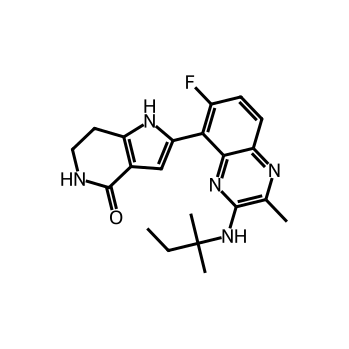 CCC(C)(C)Nc1nc2c(-c3cc4c([nH]3)CCNC4=O)c(F)ccc2nc1C